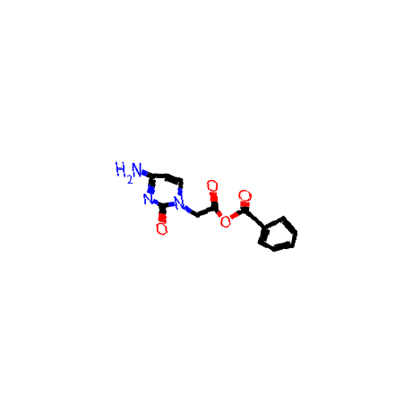 Nc1ccn(CC(=O)OC(=O)c2ccccc2)c(=O)n1